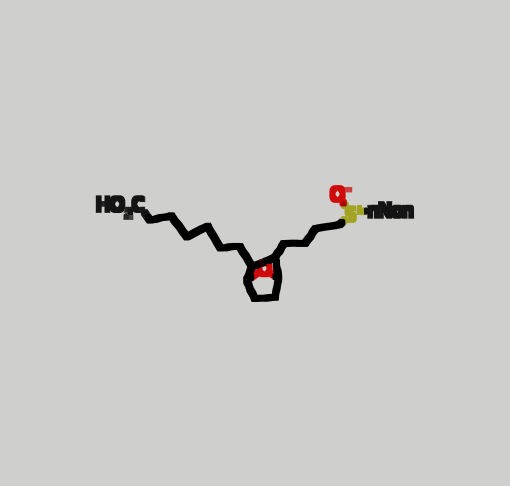 CCCCCCCCC[S+]([O-])CCCCC1C2CCC(O2)C1CCCCCCC(=O)O